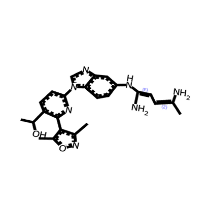 C/C(N)=C/C=C(\N)Nc1ccc2c(c1)ncn2-c1ccc(C(C)O)c(-c2c(C)noc2C)n1